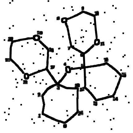 C1CCC(OC2(C3COCCO3)CCCCC2)(C2COCCO2)CC1